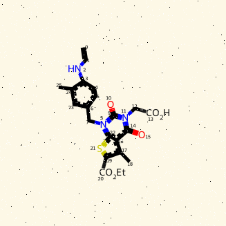 C=CNc1ccc(Cn2c(=O)n(CC(=O)O)c(=O)c3c(C)c(C(=O)OCC)sc32)cc1C